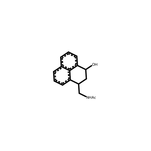 CC(=O)NCC1CC(O)c2cccc3cccc1c23